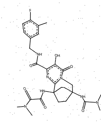 Cc1cc(CNC(=O)c2nc3n(c(=O)c2O)CC2(NC(=O)N(C)C)CCC3(NC(=O)C(=O)N(C)C)CC2)ccc1F